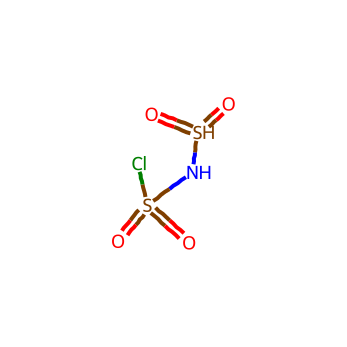 O=[SH](=O)NS(=O)(=O)Cl